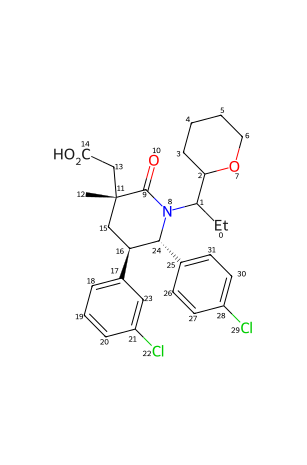 CCC(C1CCCCO1)N1C(=O)[C@@](C)(CC(=O)O)C[C@H](c2cccc(Cl)c2)[C@H]1c1ccc(Cl)cc1